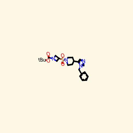 CC(C)(C)OC(=O)N1CC(S(=O)(=O)N2CCC(c3cncn3Cc3ccccc3)CC2)C1